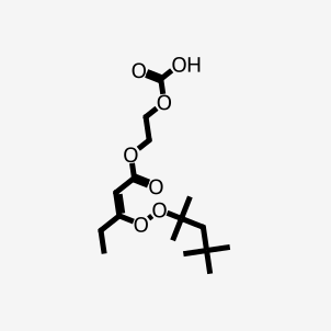 CCC(=CC(=O)OCCOC(=O)O)OOC(C)(C)CC(C)(C)C